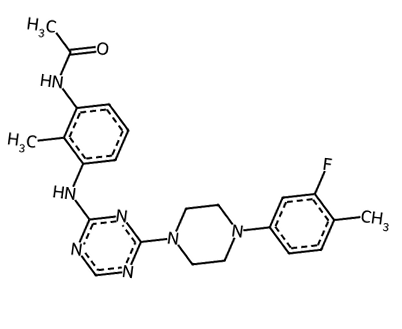 CC(=O)Nc1cccc(Nc2ncnc(N3CCN(c4ccc(C)c(F)c4)CC3)n2)c1C